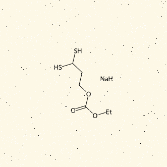 CCOC(=O)OCCC(S)S.[NaH]